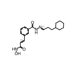 O=C(/C=C/c1cccc(C(=O)N/N=C/CCC2CCCCC2)c1)NO